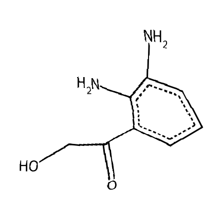 Nc1cccc(C(=O)CO)c1N